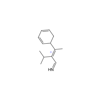 C/C(=C(\C=N)C(C)C)C1C=CC=CC1